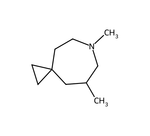 CC1CN(C)CCC2(CC2)C1